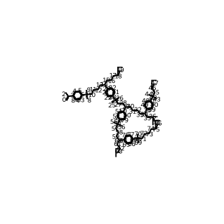 C=C(C)c1ccc(C(C)(C)CCCCC(CCCCF)c2ccc(C(C)(C)CCC(CCCCC(CCF)c3ccc(C(C)(C)CCF)cc3)c3ccc(C(C)(C)CCCC(CCF)c4ccc(C(C)(C)CCCCCF)cc4)cc3)cc2)cc1